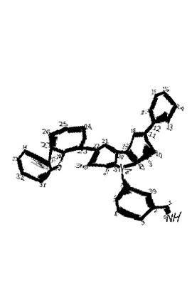 N=Cc1cccc(-n2c3ccc(-c4ccccc4)cc3c3cc(-c4cccc5c4sc4ccccc45)ccc32)c1